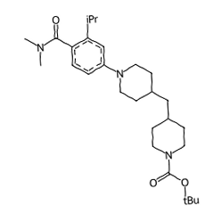 CC(C)c1cc(N2CCC(CC3CCN(C(=O)OC(C)(C)C)CC3)CC2)ccc1C(=O)N(C)C